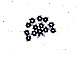 N#Cc1c(C#N)c(-c2ccc(-n3c4ccccc4c4ccccc43)cc2)c(-c2ccc(-n3c4ccccc4c4ccccc43)cc2)c(-c2ccc(-n3c4ccccc4c4ccccc43)cc2)c1-c1ccc(-n2c3ccccc3c3ccccc32)cc1